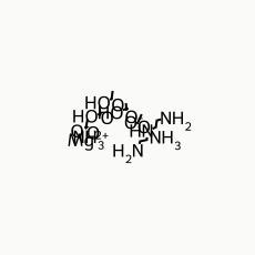 CC(=O)O.CC(=O)O.CC(=O)O.CC(=O)[O-].CC(=O)[O-].N.N.NCCNCCN.[Mg+2]